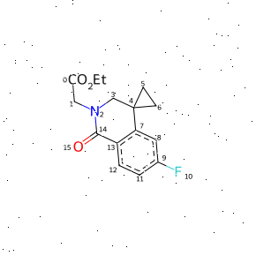 CCOC(=O)CN1CC2(CC2)c2cc(F)ccc2C1=O